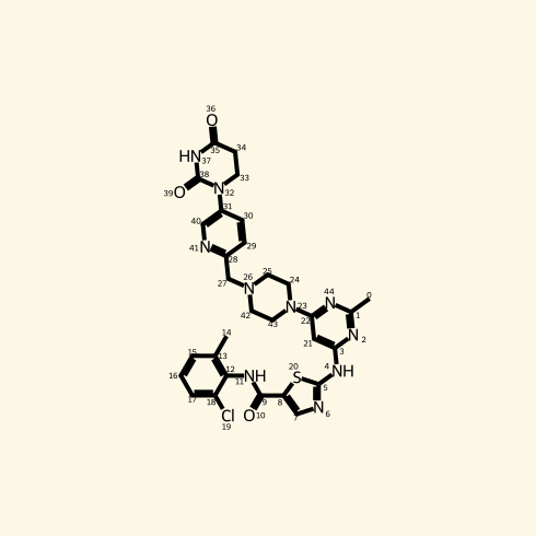 Cc1nc(Nc2ncc(C(=O)Nc3c(C)cccc3Cl)s2)cc(N2CCN(Cc3ccc(N4CCC(=O)NC4=O)cn3)CC2)n1